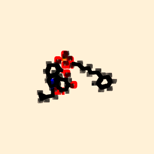 O=C1CCC2(O)C3Cc4ccc(OP(=O)(O)OCCCCCCc5ccccc5)c5c4C2(CCN3CC2CC2)C1O5